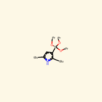 CC(C)[O][Ti]([O]C(C)C)([O]C(C)C)[c]1cc(C(C)(C)C)[nH]c1C(C)(C)C